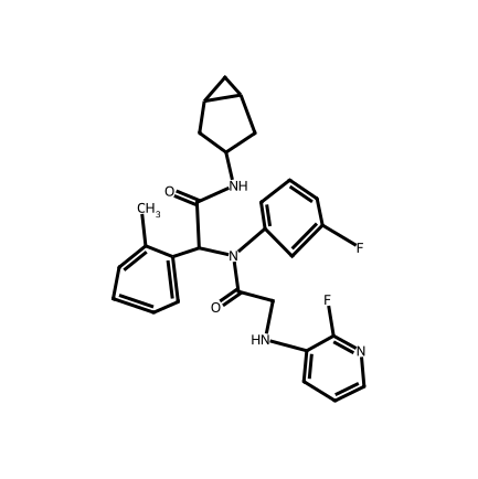 Cc1ccccc1C(C(=O)NC1CC2CC2C1)N(C(=O)CNc1cccnc1F)c1cccc(F)c1